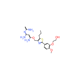 C=C(N)/N=C(N)\C=C(/N)OCc1nc(-c2ccc(OC)c(OCCO)c2)sc1CCC